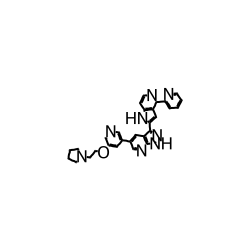 c1ccc(-c2nccc3[nH]c(-c4n[nH]c5ncc(-c6cncc(OCCN7CCCC7)c6)cc45)cc23)nc1